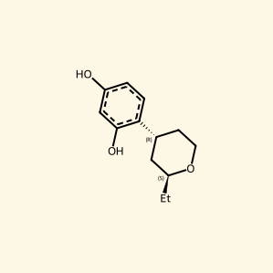 CC[C@H]1C[C@H](c2ccc(O)cc2O)CCO1